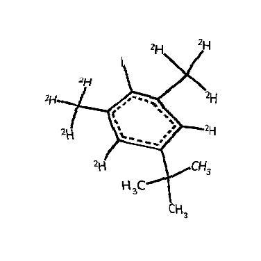 [2H]c1c(C([2H])([2H])[2H])c(I)c(C([2H])([2H])[2H])c([2H])c1C(C)(C)C